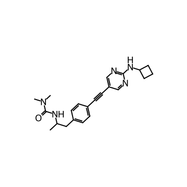 CC(Cc1ccc(C#Cc2cnc(NC3CCC3)nc2)cc1)NC(=O)N(C)C